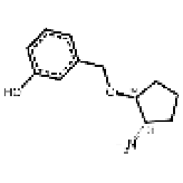 N[C@H]1CCC[C@@H]1OCc1cccc(O)c1